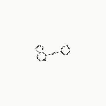 C(#Cc1ncnc2ccsc12)c1cccnc1